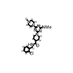 CNc1nc(N2CCC(C(=O)NCc3ccccc3Cl)CC2)nc(N2CCN(C)CC2)n1